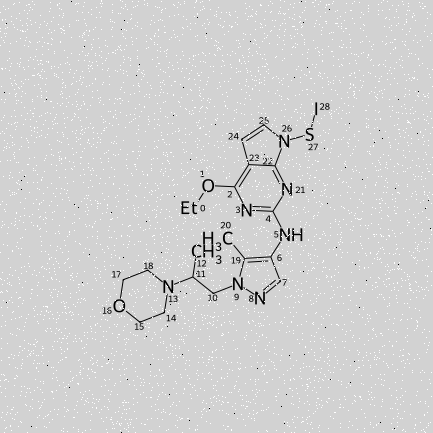 CCOc1nc(Nc2cnn(CC(C)N3CCOCC3)c2C)nc2c1ccn2SI